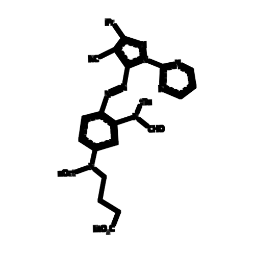 CCCCCCCCN(CCCC(=O)OCC)c1ccc(/N=N/c2c(C#N)c(C(C)C)nn2-c2ncccn2)c(N(C=O)C(C)(C)C)c1